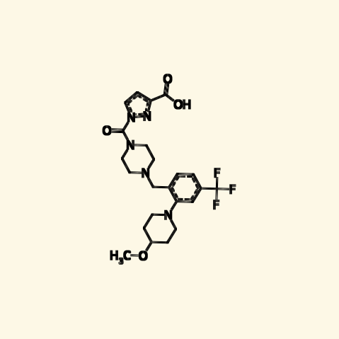 COC1CCN(c2cc(C(F)(F)F)ccc2CN2CCN(C(=O)n3ccc(C(=O)O)n3)CC2)CC1